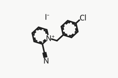 N#Cc1cccc[n+]1Cc1ccc(Cl)cc1.[I-]